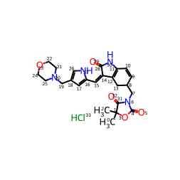 CC1(C)OC(=O)N(CC2C=CC3=C(C2)C(=Cc2cc(CN4CCOCC4)c[nH]2)C(=O)N3)C1=O.Cl